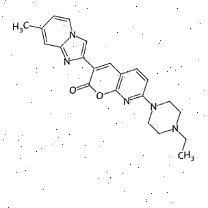 CCN1CCN(c2ccc3cc(-c4cn5ccc(C)cc5n4)c(=O)oc3n2)CC1